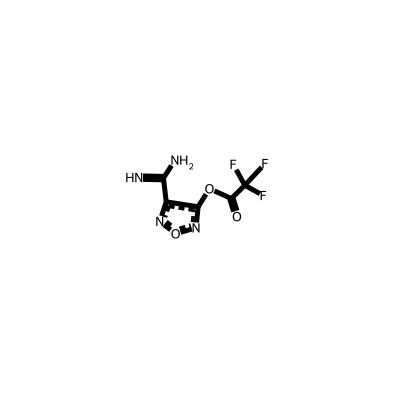 N=C(N)c1nonc1OC(=O)C(F)(F)F